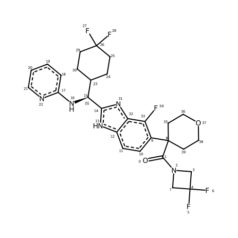 O=C(N1CC(F)(F)C1)C1(c2ccc3[nH]c([C@@H](Nc4ccccn4)C4CCC(F)(F)CC4)nc3c2F)CCOCC1